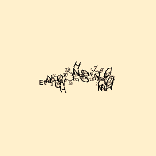 CCn1cc(S(=O)(=O)N[C@H]2CC[C@H](NC(=O)O[C@@H]3CCN(c4cn[nH]c(=O)c4Cl)C3)CC2)cn1